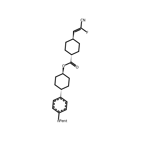 CCCCCc1ccc([C@H]2CC[C@H](OC(=O)[C@H]3CC[C@H](C=C(F)C#N)CC3)CC2)cc1